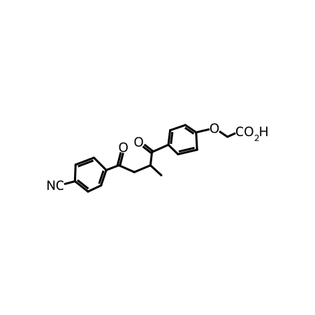 CC(CC(=O)c1ccc(C#N)cc1)C(=O)c1ccc(OCC(=O)O)cc1